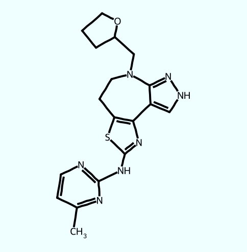 Cc1ccnc(Nc2nc3c(s2)CCN(CC2CCCO2)c2n[nH]cc2-3)n1